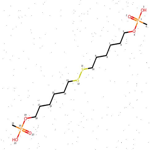 CP(=O)(O)OCCCCCCSSCCCCCCOP(C)(=O)O